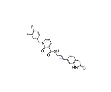 O=C1Cc2ccc(/C=C/CNC(=O)c3cccn(Cc4ccc(F)c(F)c4)c3=O)cc2N1